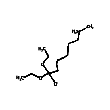 CCOC(Cl)(CCCCC[SiH2]C)OCC